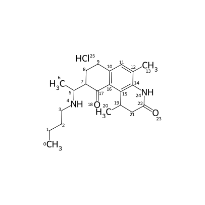 CCCCNC(C)C1CCc2cc(C)c3c(c2C1=O)C(C)CC(=O)N3.Cl